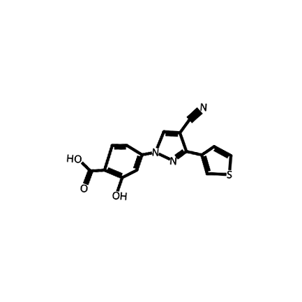 N#Cc1cn(-c2ccc(C(=O)O)c(O)c2)nc1-c1ccsc1